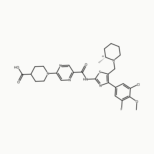 COc1c(F)cc(-c2nc(NC(=O)c3cnc(N4CCC(C(=O)O)CC4)cn3)sc2CN2CCCC[C@H]2C)cc1Cl